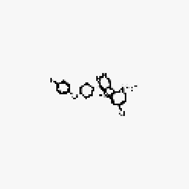 O=C(O)N1CC=C(Cl)C=c2[nH]c3c(c21)CN=NC=3[C@H]1CC[C@H](Oc2ccc(F)cc2)CC1